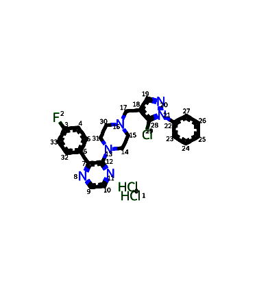 Cl.Cl.Fc1ccc(-c2nccnc2N2CCN(Cc3cnn(-c4ccccc4)c3Cl)CC2)cc1